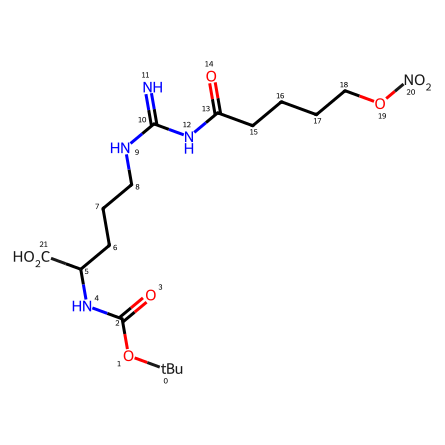 CC(C)(C)OC(=O)NC(CCCNC(=N)NC(=O)CCCCO[N+](=O)[O-])C(=O)O